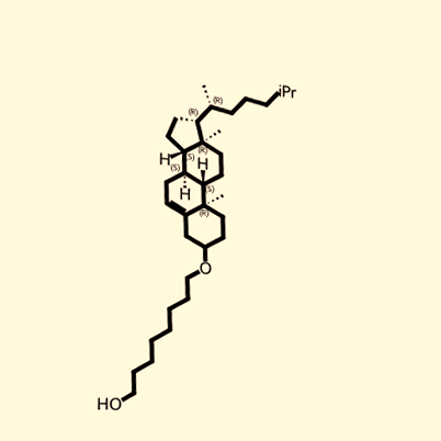 CC(C)CCC[C@@H](C)[C@H]1CC[C@H]2[C@@H]3CC=C4CC(OCCCCCCCCO)CC[C@]4(C)[C@H]3CC[C@]12C